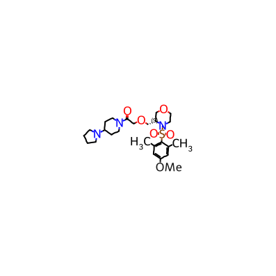 COc1cc(C)c(S(=O)(=O)N2CCOC[C@H]2COCC(=O)N2CCC(N3CCCC3)CC2)c(C)c1